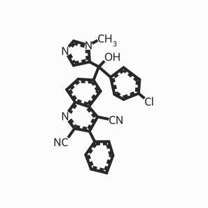 Cn1cncc1C(O)(c1ccc(Cl)cc1)c1ccc2nc(C#N)c(-c3ccccc3)c(C#N)c2c1